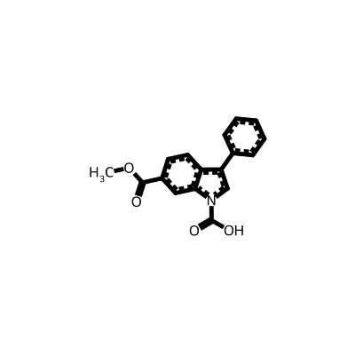 COC(=O)c1ccc2c(-c3ccccc3)cn(C(=O)O)c2c1